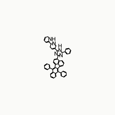 C1=CCNC(C2CC=C(C3=NC(c4ccc5c6c(cccc46)-c4c-5c(-c5ccccc5)c5ccccc5c4-c4ccccc4)=NC(c4ccccc4)N3)C=N2)=C1